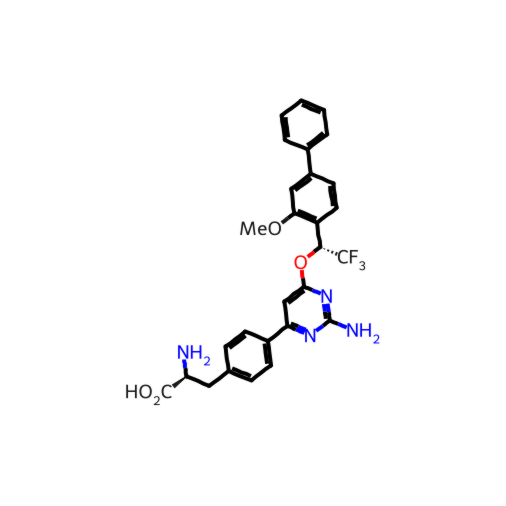 COc1cc(-c2ccccc2)ccc1[C@@H](Oc1cc(-c2ccc(C[C@H](N)C(=O)O)cc2)nc(N)n1)C(F)(F)F